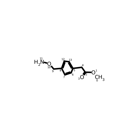 COC(=O)Cc1ccc(CON)cc1